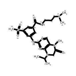 CC(C)N1CC(=O)N(C)c2cnc(Nc3cc(C(=O)NCCCN(C)C)cc(S(C)(=O)=O)c3)nc21